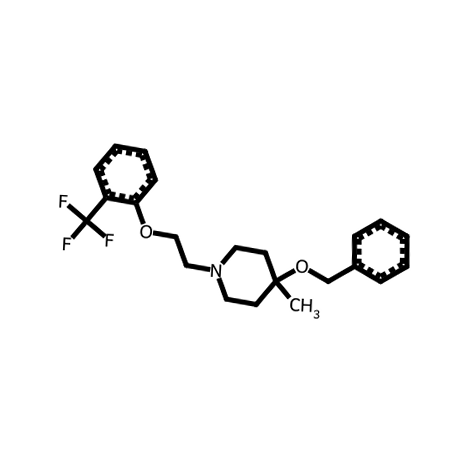 CC1(OCc2ccccc2)CCN(CCOc2ccccc2C(F)(F)F)CC1